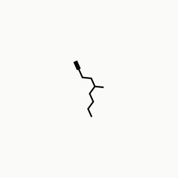 C#CCCC(C)CCCC